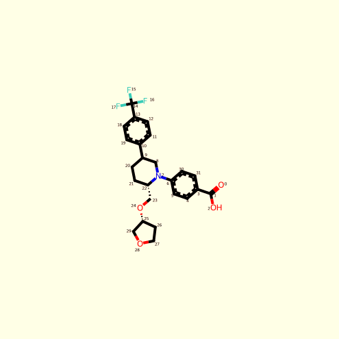 O=C(O)c1ccc(N2CC(c3ccc(C(F)(F)F)cc3)CC[C@H]2CO[C@@H]2CCOC2)cc1